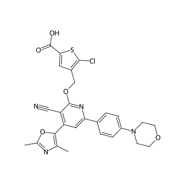 Cc1nc(C)c(-c2cc(-c3ccc(N4CCOCC4)cc3)nc(OCc3cc(C(=O)O)sc3Cl)c2C#N)o1